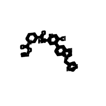 CC(C)(C)OC(=O)N1CCCC(C(=O)Nc2cc(-c3ccc4c(c3)ncn4Cc3cscn3)c(Cl)cn2)C1